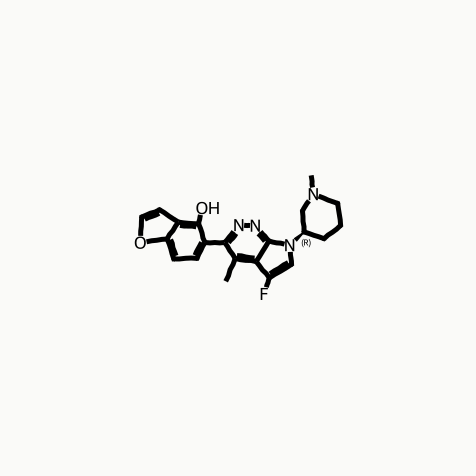 Cc1c(-c2ccc3occc3c2O)nnc2c1c(F)cn2[C@@H]1CCCN(C)C1